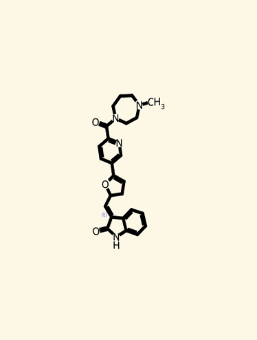 CN1CCCN(C(=O)c2ccc(C3=CCC(/C=C4/C(=O)Nc5ccccc54)O3)cn2)CC1